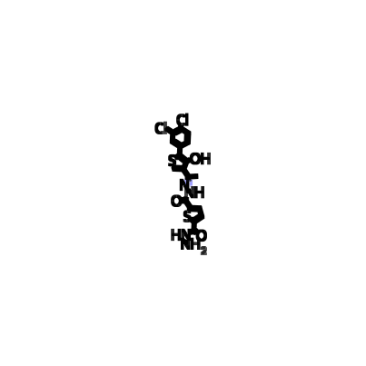 C/C(=N\NC(=O)c1ccc(C(=O)NN)s1)c1csc(-c2ccc(Cl)c(Cl)c2)c1O